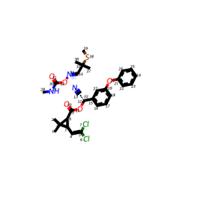 CC1(C)C(C=C(Cl)Cl)C1C(=O)O[C@H](C#N)c1cccc(Oc2ccccc2)c1.CNC(=O)O/N=C/C(C)(C)SC